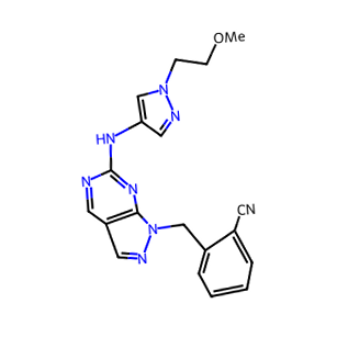 COCCn1cc(Nc2ncc3cnn(Cc4ccccc4C#N)c3n2)cn1